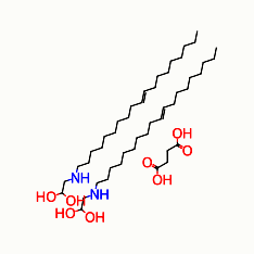 CCCCCCCCC=CCCCCCCCCCNCC(O)O.CCCCCCCCC=CCCCCCCCCCNCC(O)O.O=C(O)CCC(=O)O